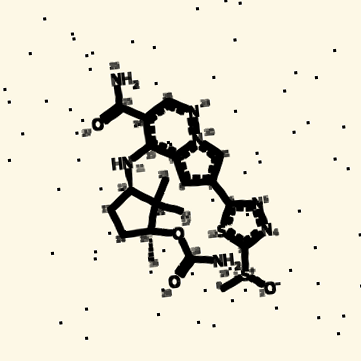 C[S+]([O-])c1nnc(-c2cc3c(N[C@@H]4CC[C@](C)(OC(N)=O)C4(C)C)c(C(N)=O)cnn3c2)s1